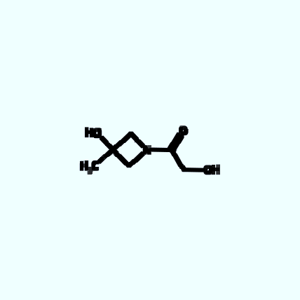 CC1(O)CN(C(=O)CO)C1